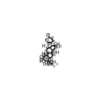 CO[C@H]1[C@H]2O[C@H]2[C@]2(CO)[C@H]3CC[C@]4(C)[C@@H](c5ccc(=O)oc5)C(C)(Cl)C[C@]4(O)C3=CC[C@H]2C1(C)C